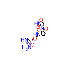 NC(=O)N1CCNCC1CCOCCNc1cccc2c1C(=O)N(C1CCC(=O)NC1=O)C2=O